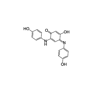 O=C1C=C(O)C(=Nc2ccc(O)cc2)C=C1Nc1ccc(O)cc1